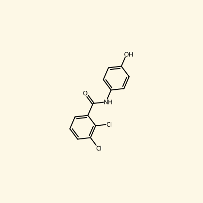 O=C(Nc1ccc(O)cc1)c1cccc(Cl)c1Cl